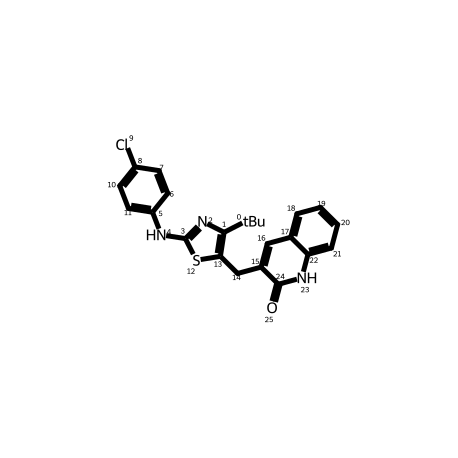 CC(C)(C)c1nc(Nc2ccc(Cl)cc2)sc1Cc1cc2ccccc2[nH]c1=O